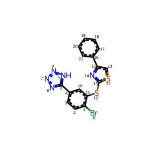 Brc1ccc(-c2nnn[nH]2)cc1Sc1nc(-c2ccccc2)cs1